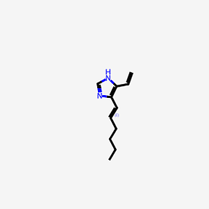 C=Cc1[nH]cnc1/C=C/CCCC